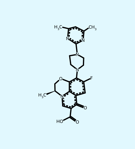 Cc1cc(C)nc(N2CCN(c3c(F)cc4c(=O)c(C(=O)O)cn5c4c3OC[C@@H]5C)CC2)n1